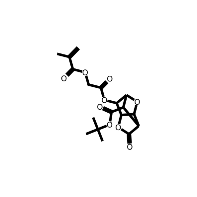 C=C(C)C(=O)OCC(=O)OC1C2OC(=O)C3C2OC1C3C(=O)OC(C)(C)C